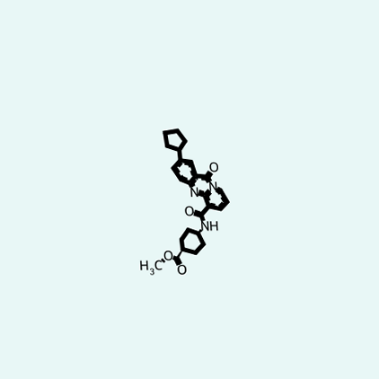 COC(=O)[C@H]1CC[C@@H](NC(=O)c2cccn3c(=O)c4cc(C5CCCC5)ccc4nc23)CC1